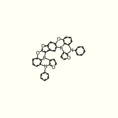 c1ccc(N2c3cccc4c3B(c3cc5c6c(oc5cc3O4)Oc3cccc4c3B6c3ccoc3N4c3ccccc3)c3ccoc32)cc1